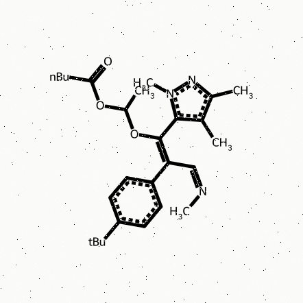 CCCCC(=O)OC(C)O/C(=C(/C=N\C)c1ccc(C(C)(C)C)cc1)c1c(C)c(C)nn1C